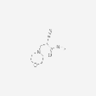 N#CC(CN1CCOCC1)C(N)=O